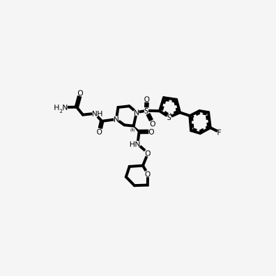 NC(=O)CNC(=O)N1CCN(S(=O)(=O)c2ccc(-c3ccc(F)cc3)s2)[C@@H](C(=O)NOC2CCCCO2)C1